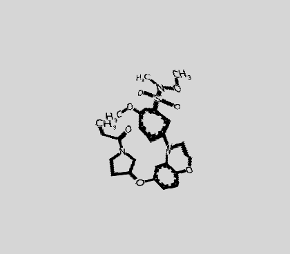 CCC(=O)N1CCC(Oc2ccc3c(c2)N(c2ccc(OC)c(S(=O)(=O)N(C)OC)c2)CCO3)C1